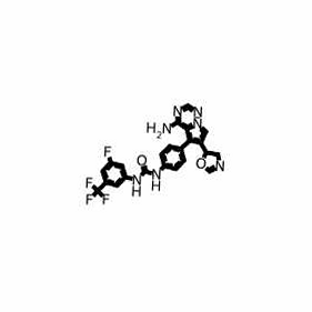 Nc1ncnn2cc(C3CN=CO3)c(-c3ccc(NC(=O)Nc4cc(F)cc(C(F)(F)F)c4)cc3)c12